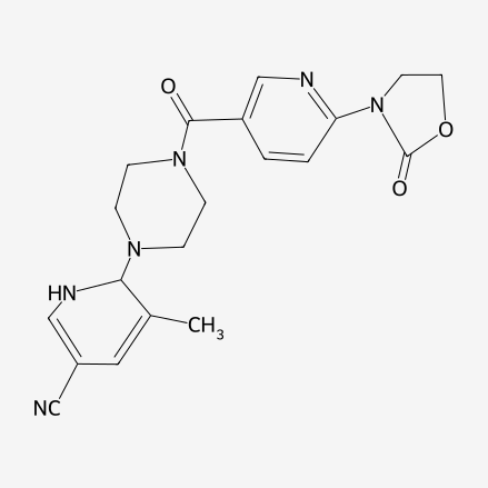 CC1=CC(C#N)=CNC1N1CCN(C(=O)c2ccc(N3CCOC3=O)nc2)CC1